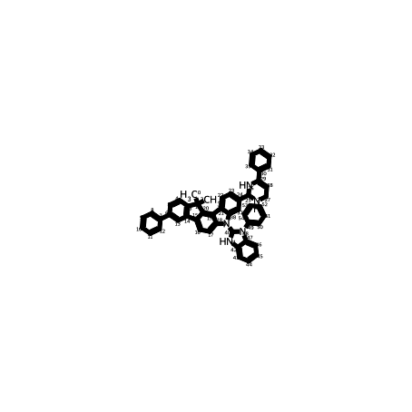 CC1(C)c2ccc(-c3ccccc3)cc2-c2ccc3c(c21)c1ccc(C2NCC=C(c4ccccc4)N2)cc1n3C1Nc2ccccc2N1c1ccccc1